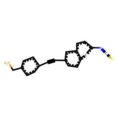 PCc1ccc(C#Cc2ccc3cc(N=C=S)ccc3c2)cc1